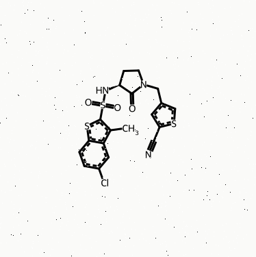 Cc1c(S(=O)(=O)N[C@H]2CCN(Cc3csc(C#N)c3)C2=O)sc2ccc(Cl)cc12